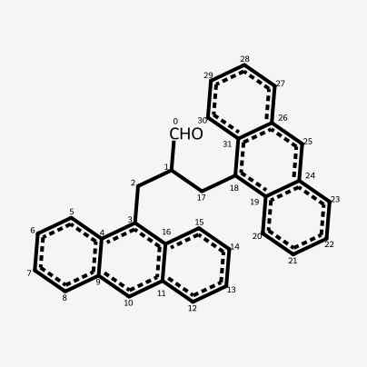 O=CC(Cc1c2ccccc2cc2ccccc12)Cc1c2ccccc2cc2ccccc12